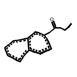 CCC(=O)c1[c]c2ccccc2cc1